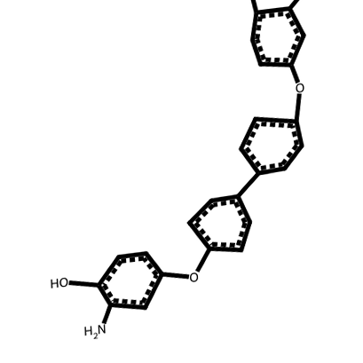 Nc1cc(Oc2ccc(-c3ccc(Oc4ccc(O)c(N)c4)cc3)cc2)ccc1O